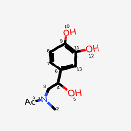 CC(=O)N(C)CC(O)c1ccc(O)c(O)c1